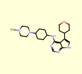 CCN1CCN(C2CCC(Nc3ncnc4[nH]cc(C5CCOCC5)c34)CC2)CC1